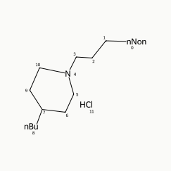 CCCCCCCCCCCCN1CCC(CCCC)CC1.Cl